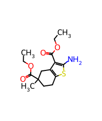 CCOC(=O)c1c(N)sc2c1CC(C)(C(=O)OCC)CC2